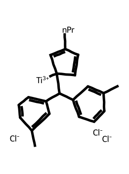 CCCC1=C[C]([Ti+3])(C(c2cccc(C)c2)c2cccc(C)c2)C=C1.[Cl-].[Cl-].[Cl-]